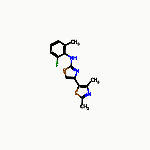 Cc1nc(C)c(-c2csc(Nc3c(C)cccc3F)n2)s1